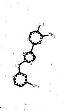 Cc1ccnc(Nc2nc(-c3cc(C)c(O)cn3)cs2)c1